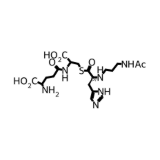 CC(=O)NCCCN[C@@H](Cc1cnc[nH]1)C(=O)SCC(NC(=O)CCC(N)C(=O)O)C(=O)O